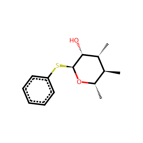 C[C@@H]1[C@@H](C)[C@H](C)O[C@@H](Sc2ccccc2)[C@@H]1O